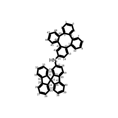 c1ccc2c(c1)-c1ccccc1-c1ccc(Nc3ccc4c(c3)C3(c5ccccc5-c5ccccc53)c3ccccc3-4)cc1-c1ccccc1-2